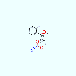 CC[C@@H](OC(N)=O)[C@H](OC)c1ccccc1I